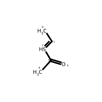 CC=[SH]C(C)=O